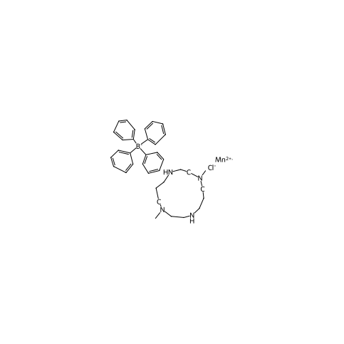 CN1CCCNCCN(C)CCCNCC1.[Cl-].[Mn+2].c1ccc([B-](c2ccccc2)(c2ccccc2)c2ccccc2)cc1